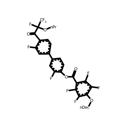 CCCCCCCCCCOc1c(F)c(F)c(C(=O)Oc2ccc(-c3ccc(C(=O)C(F)(OCCC)C(F)(F)F)c(F)c3)cc2F)c(F)c1F